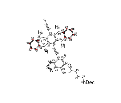 CC#Cc1c2c(c(C#Cc3c(C)c(OCCCCCCCCCCCCCC)c(C)c4nsnc34)c3c1[C@H]1c4ccccc4[C@H]3c3ccccc31)[C@H]1c3ccccc3[C@H]2c2ccccc21